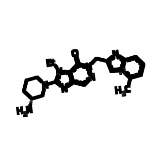 CCn1c(N2CCC[C@@H](N)C2)nc2cnn(Cc3cn4c(C)cccc4n3)c(=O)c21